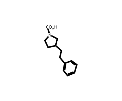 O=C(O)N1CCC(CCc2ccccc2)C1